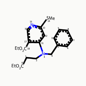 CCOC(=O)CCN(Cc1ccccc1)c1cc(SC)ncc1C(=O)OCC